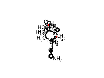 CCO[C@@H](O[C@@H]1CC(=O)[C@@H](Cc2ccccc2)C(=O)O[C@H](CC)[C@@]2(C)OC(=O)N(CCCCn3cc(-c4cccc(N)c4)nn3)[C@@H]2[C@@H](C)NC[C@H](C)C[C@@]1(C)OC)C(O)C(CC)N(C)C